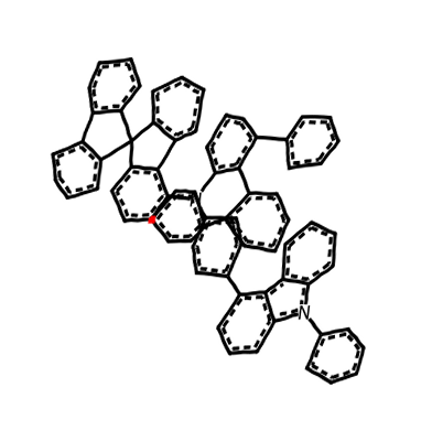 c1ccc(-c2ccccc2-c2c(-c3ccccc3)cccc2N(c2ccc(-c3cccc4c3c3ccccc3n4-c3ccccc3)cc2)c2cccc3c2-c2ccccc2C32c3ccccc3-c3ccccc32)cc1